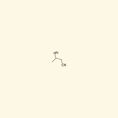 CCCC(C)[CH]C#N